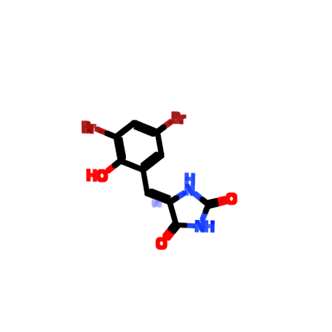 O=C1NC(=O)/C(=C/c2cc(Br)cc(Br)c2O)N1